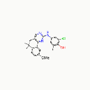 COc1ccc2c(c1)-c1nc(Nc3cc(C)c(O)c(Cl)c3)ncc1CC2(C)C